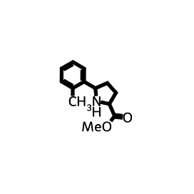 COC(=O)C1CCC(c2ccccc2C)N1